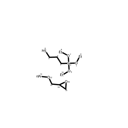 CCO[Si](CCCS)(OCC)OCC.[CH2]CCOCC1CO1